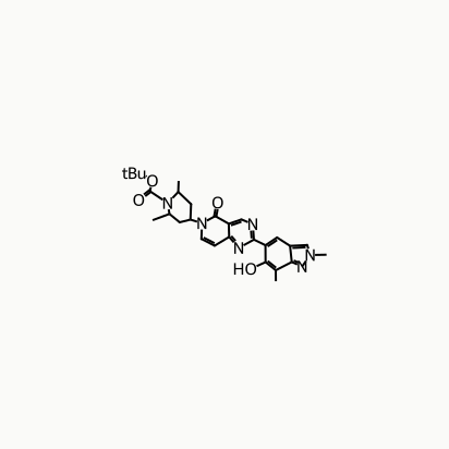 Cc1c(O)c(-c2ncc3c(=O)n(C4CC(C)N(C(=O)OC(C)(C)C)C(C)C4)ccc3n2)cc2cn(C)nc12